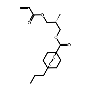 C=CC(=O)OC[C@H](C)COC(=O)C12CCC(CCC)(CC1)CC2